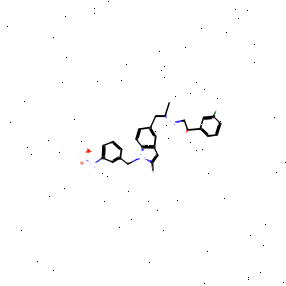 CC(Cc1ccc2c(c1)cc(C(=O)O)n2Cc1cccc(NS(=O)(=O)C(F)(F)F)c1)NCC(O)c1cccc(Cl)c1